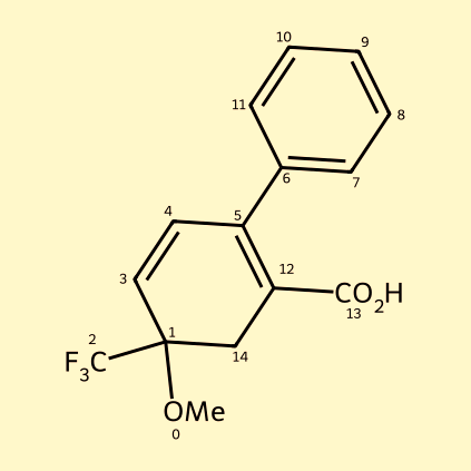 COC1(C(F)(F)F)C=CC(c2ccccc2)=C(C(=O)O)C1